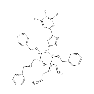 C=CCO[C@@]1(C=C)O[C@H](COCc2ccccc2)[C@H](OCc2ccccc2)[C@H](n2cc(-c3cc(F)c(F)c(F)c3)nn2)[C@H]1OCc1ccccc1